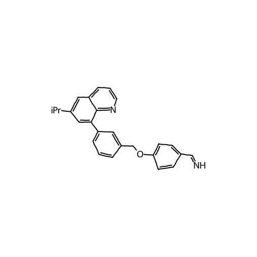 CC(C)c1cc(-c2cccc(COc3ccc(C=N)cc3)c2)c2ncccc2c1